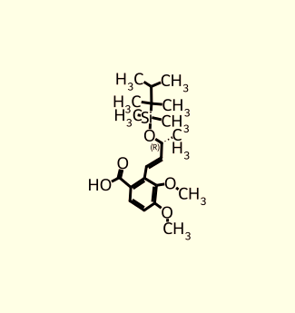 COc1ccc(C(=O)O)c(C=C[C@@H](C)O[Si](C)(C)C(C)(C)C(C)C)c1OC